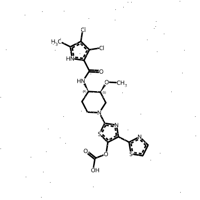 CO[C@H]1CN(c2nc(-c3nccs3)c(OC(=O)O)s2)CC[C@H]1NC(=O)c1[nH]c(C)c(Cl)c1Cl